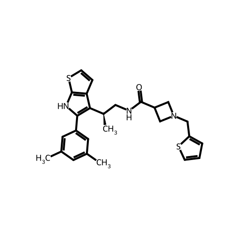 Cc1cc(C)cc(-c2[nH]c3sccc3c2[C@H](C)CNC(=O)C2CN(Cc3cccs3)C2)c1